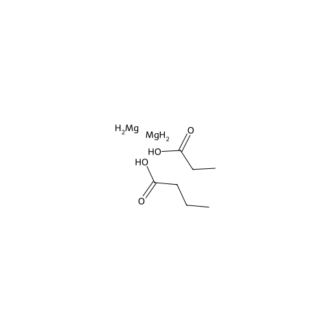 CCC(=O)O.CCCC(=O)O.[MgH2].[MgH2]